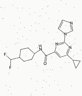 O=C(NC1CCC(C(F)F)CC1)c1cc(C2CC2)nc(-n2ccnc2)n1